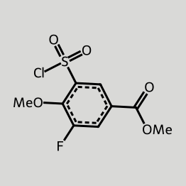 COC(=O)c1cc(F)c(OC)c(S(=O)(=O)Cl)c1